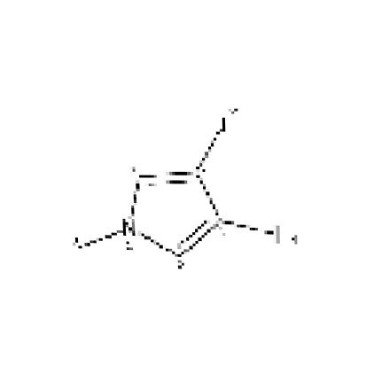 Cn1cc(I)c(I)c1